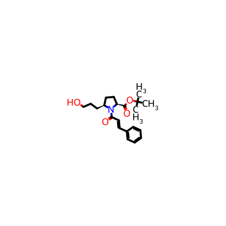 CC(C)(C)OC(=O)[C@@H]1CC[C@H](CCCO)N1C(=O)C=Cc1ccccc1